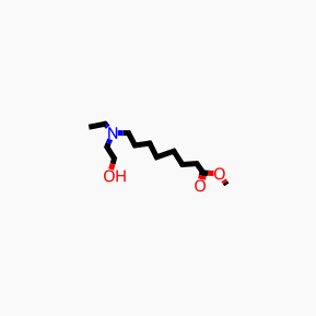 CCN(CCO)CCCCCCCC(=O)OC